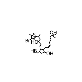 B=C[C@@H]1CC(O)[C@H](C/C=C\CCCC(=O)O)[C@H]1/C=C/[C@@H](O)CC(C)c1cc(Br)c(C)s1